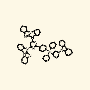 c1ccc([Si](c2ccccc2)(c2ccc(-c3nc(-n4c5ccccc5n5c6ccccc6nc45)cc(-n4c5ccccc5n5c6ccccc6nc45)n3)cc2)c2cccc(-n3c4ccccc4c4ccccc43)c2)cc1